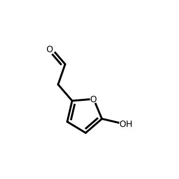 O=CCc1ccc(O)o1